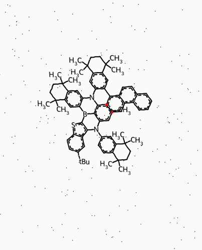 Cc1cc2c3c(c1)N(c1ccc4c(c1)C(C)(C)CCC4(C)C)c1c(sc4ccc(C(C)(C)C)cc14)B3c1cc3c(cc1N2c1cc2c(cc1-c1cccc4c1ccc1ccccc14)C(C)(C)CCC2(C)C)C(C)(C)CCC3(C)C